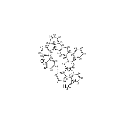 C=CC1C(CCc2ccccc2-c2cccc[n+]2C)c2cc3c(cc2-c2cccc[n+]21)c1cccc2c4ccc5oc6ccccc6c5c4n3c12